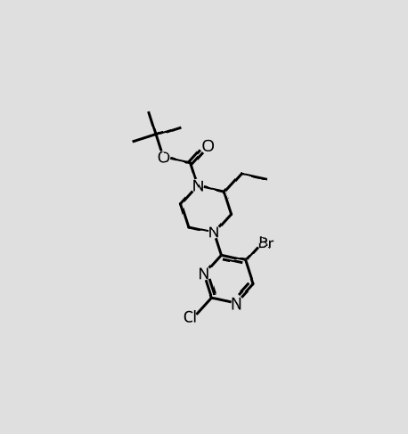 CCC1CN(c2nc(Cl)ncc2Br)CCN1C(=O)OC(C)(C)C